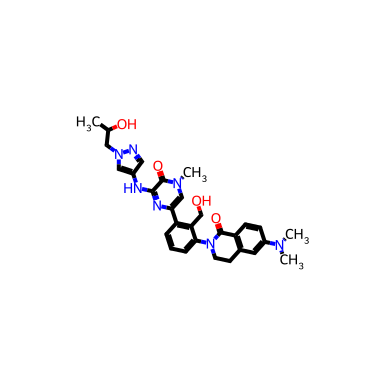 CC(O)Cn1cc(Nc2nc(-c3cccc(N4CCc5cc(N(C)C)ccc5C4=O)c3CO)cn(C)c2=O)cn1